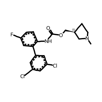 CN1CC[C@H](COC(=O)Nc2ccc(F)cc2-c2cc(Cl)cc(Cl)c2)C1